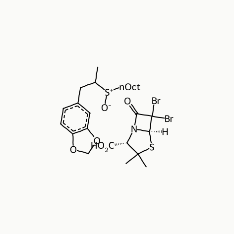 CC1(C)S[C@H]2N(C(=O)C2(Br)Br)[C@H]1C(=O)O.CCCCCCCC[S+]([O-])C(C)Cc1ccc2c(c1)OCO2